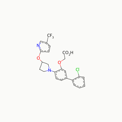 O=C(O)COc1cc(-c2ccccc2Cl)ccc1N1CCC(Oc2ccc(C(F)(F)F)cn2)C1